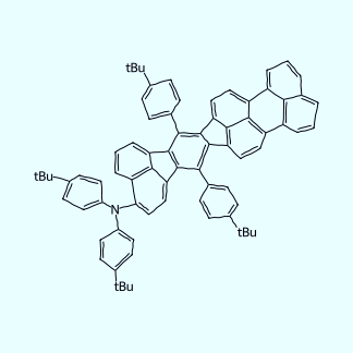 CC(C)(C)c1ccc(-c2c3c4cccc5c(N(c6ccc(C(C)(C)C)cc6)c6ccc(C(C)(C)C)cc6)ccc(c3c(-c3ccc(C(C)(C)C)cc3)c3c6ccc7c8cccc9cccc(c%10ccc(c23)c6c%107)c98)c54)cc1